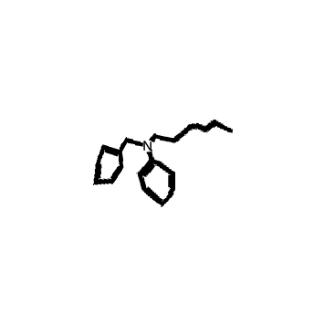 CCCCCCN(Cc1ccccc1)c1cc[c]cc1